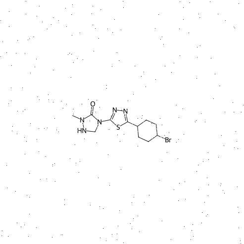 CN1NCN(c2nnc(C3CCC(Br)CC3)s2)C1=O